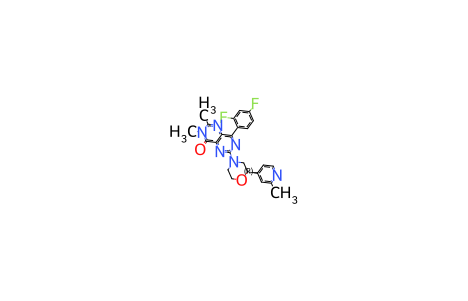 Cc1cc([C@@H]2CN(c3nc(-c4ccc(F)cc4F)c4nc(C)n(C)c(=O)c4n3)CCO2)ccn1